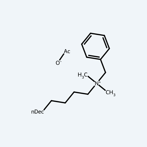 CC(=O)[O-].CCCCCCCCCCCCCC[N+](C)(C)Cc1ccccc1